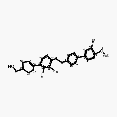 CCOc1ccc(-c2ccc(CCc3ccc(C4=CCC(CO)CC4)c(F)c3F)cc2)cc1F